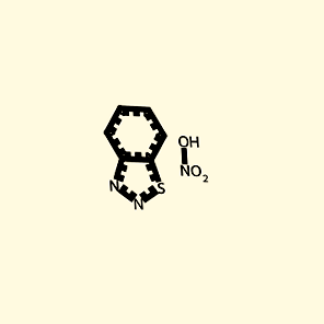 O=[N+]([O-])O.c1ccc2snnc2c1